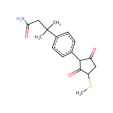 CSC1CC(=O)C(c2ccc(C(C)(C)CC(N)=O)cc2)C1=O